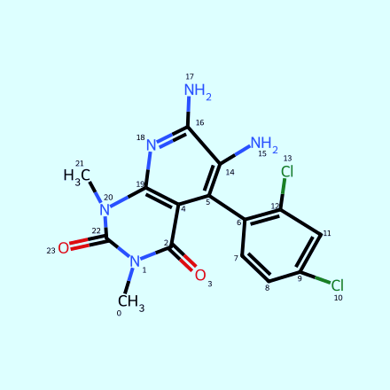 Cn1c(=O)c2c(-c3ccc(Cl)cc3Cl)c(N)c(N)nc2n(C)c1=O